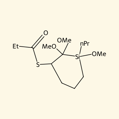 CCC[Si]1(OC)CCCC(SC(=O)CC)C1(OC)OC